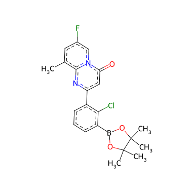 Cc1cc(F)cn2c(=O)cc(-c3cccc(B4OC(C)(C)C(C)(C)O4)c3Cl)nc12